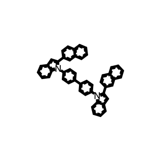 c1ccc2cc(-c3cc4ccccc4n3-c3ccc(-c4ccc(-n5c(-c6ccc7ccccc7c6)cc6ccccc65)cc4)cc3)ccc2c1